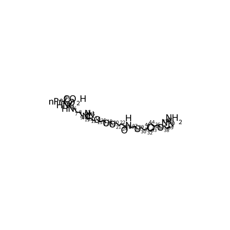 CCC[C@H](NC(=O)NCCCCn1cc(COCCOCOCCCC(=O)NCCOCCc2ccc(COc3ccnc(N)n3)cc2)nn1)C(=O)O